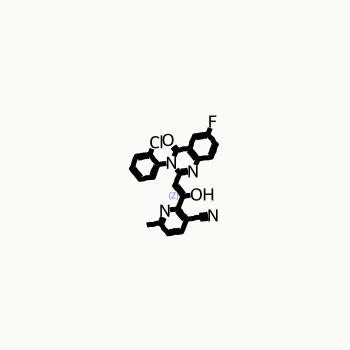 Cc1ccc(C#N)c(/C(O)=C/c2nc3ccc(F)cc3c(=O)n2-c2ccccc2Cl)n1